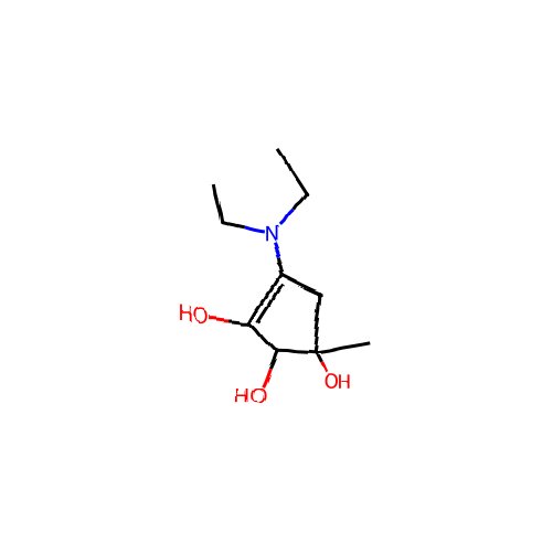 CCN(CC)C1=C(O)C(O)C(C)(O)C1